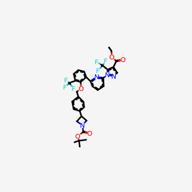 CCOC(=O)c1cnn(-c2cccc(-c3cccc(C(F)(F)F)c3OCc3ccc(C4CN(C(=O)OC(C)(C)C)C4)cc3)n2)c1C(F)(F)F